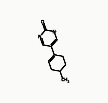 CC1CC=C(C2=C[N]C(=O)N=C2)CC1